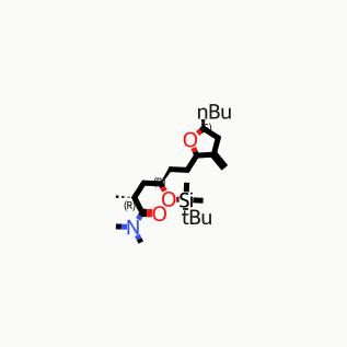 C=C1C[C@H](CCCC)OC1CC[C@H](C[C@@H](C)C(=O)N(C)C)O[Si](C)(C)C(C)(C)C